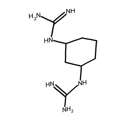 N=C(N)NC1CCCC(NC(=N)N)C1